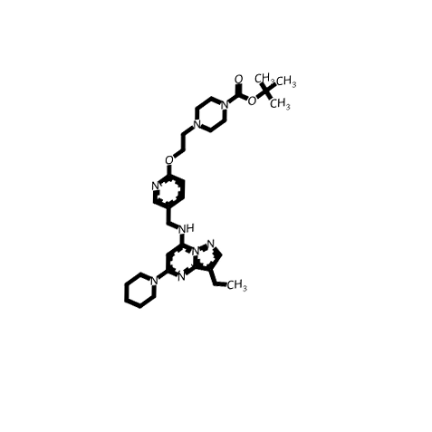 CCc1cnn2c(NCc3ccc(OCCN4CCN(C(=O)OC(C)(C)C)CC4)nc3)cc(N3CCCCC3)nc12